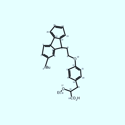 CCCCc1ccc2c(c1)C(CCOc1ccc(CC(OCC)C(=O)O)cc1)c1ccccc1-2